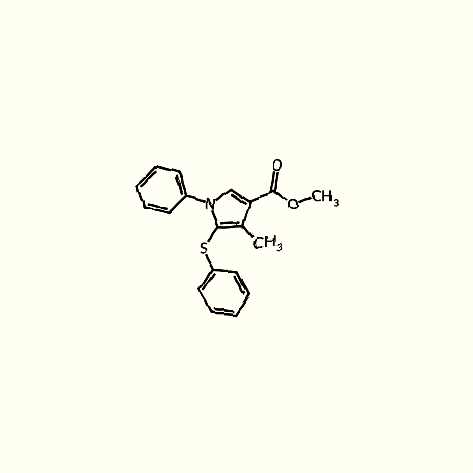 COC(=O)c1cn(-c2ccccc2)c(Sc2ccccc2)c1C